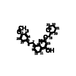 COc1ccc(CCc2cccc3c(O)cc(OCC4CCCCO4)nc23)cc1